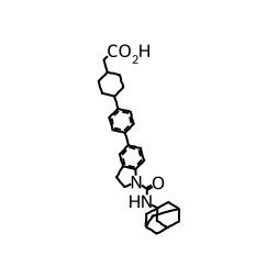 O=C(O)CC1CCC(c2ccc(-c3ccc4c(c3)CCN4C(=O)NC34CC5CC(CC(C5)C3)C4)cc2)CC1